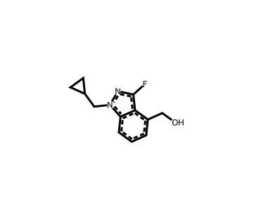 OCc1cccc2c1c(F)nn2CC1CC1